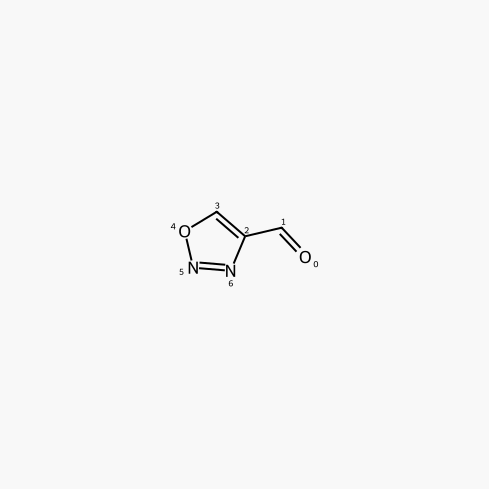 O=Cc1conn1